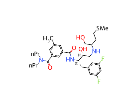 CCCN(CCC)C(=O)c1cc(C)cc(C(=O)N[C@@H](Cc2cc(F)cc(F)c2)[C@H](O)CNC(CO)CCSC)c1